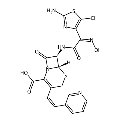 Nc1nc(/C(=N/O)C(=O)N[C@@H]2C(=O)N3C(C(=O)O)=C(/C=C\c4cccnc4)CS[C@@H]23)c(Cl)s1